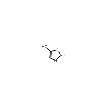 OC1=C[N]NO1